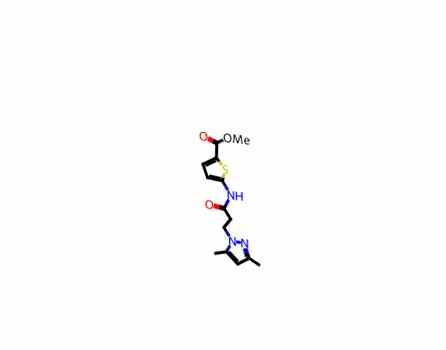 COC(=O)c1ccc(NC(=O)CCn2nc(C)cc2C)s1